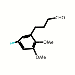 COc1cc(F)cc(CCCC=O)c1OC